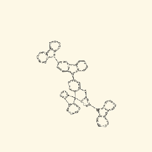 c1cnc2c(c1)C1(c3ccc(-n4c5ccccc5c5ccccc54)cc3Sc3cc(-n4c5ccccc5c5cc(-n6c7ccccc7c7ccccc76)ccc54)ccc31)c1cccnc1-2